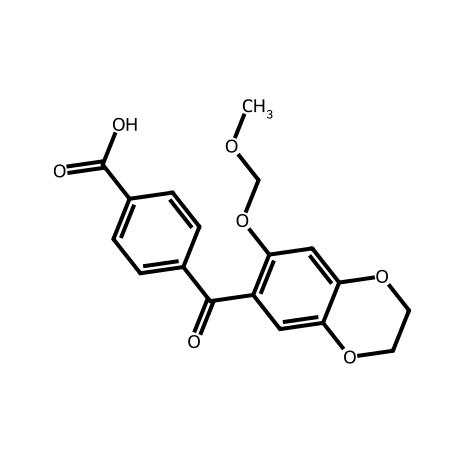 COCOc1cc2c(cc1C(=O)c1ccc(C(=O)O)cc1)OCCO2